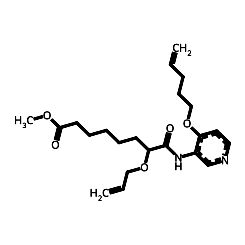 C=CCCCOc1ccncc1NC(=O)C(CCCCCC(=O)OC)OCC=C